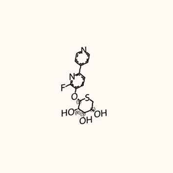 O[C@@H]1[C@@H](O)[C@@H](Oc2ccc(-c3ccncc3)nc2F)SC[C@H]1O